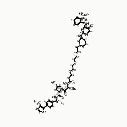 Cc1ncsc1-c1ccc(C(C)NC(=O)[C@@H]2C[C@@H](O)CN2C(=O)C(NC(=O)CCOCCOCCOCCN2CCC[C@@H](Nc3ncc(Cl)c(Nc4ccccc4S(=O)(=O)C(C)C)n3)C2)C(C)(C)C)cc1